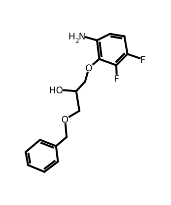 Nc1ccc(F)c(F)c1OCC(O)COCc1ccccc1